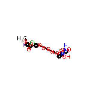 CCOc1cc2oc(-c3ccc(OCCOCCOCCOCCOc4cccc5c4C(=O)N(C4CCC(=O)NC4=O)C5O)cc3Cl)cc(=O)c2cc1I